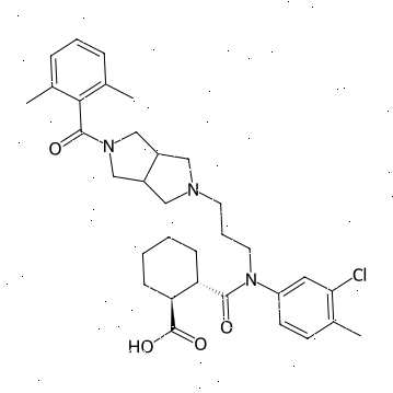 Cc1ccc(N(CCCN2CC3CN(C(=O)c4c(C)cccc4C)CC3C2)C(=O)[C@H]2CCCC[C@@H]2C(=O)O)cc1Cl